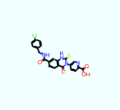 O=C(NCc1ccc(Cl)cc1)c1ccc2c(=O)n(-c3ccc(C(=O)O)nc3)c(=S)[nH]c2c1